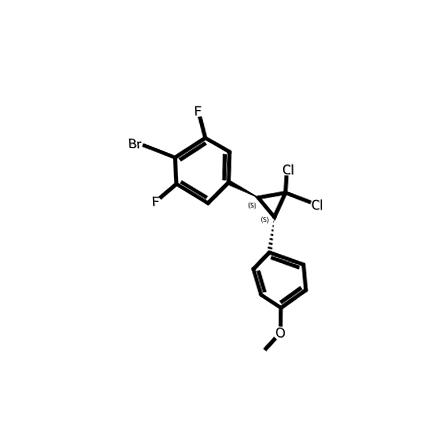 COc1ccc([C@@H]2[C@@H](c3cc(F)c(Br)c(F)c3)C2(Cl)Cl)cc1